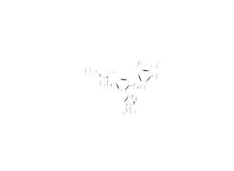 C=CC(=O)Nc1ccc(Nc2cc(F)c(C(F)(F)F)c(F)c2)c(-c2cn(C)cn2)c1